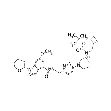 COc1cc(C(=O)NCc2ccc(N3CCC[C@@H](N(CC4CCC4)C(=O)OC(C)(C)C)C3)nn2)c2cnn(C3CCCCO3)c2c1